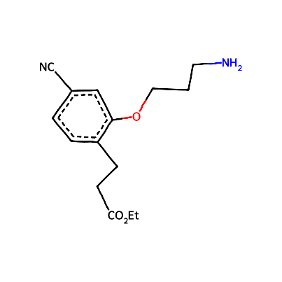 CCOC(=O)CCc1ccc(C#N)cc1OCCCN